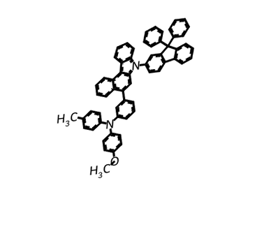 COc1ccc(N(c2ccc(C)cc2)c2cccc(-c3cc4c(c5ccccc35)c3ccccc3n4-c3ccc4c(c3)C(c3ccccc3)(c3ccccc3)c3ccccc3-4)c2)cc1